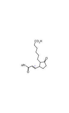 CCCC(=O)/C=C/C1CCC(=O)C1CCCCCC(=O)O